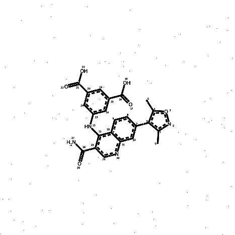 Cc1noc(C)c1-c1ccc2c(Nc3cc(C(=O)O)cc(C(=O)O)c3)c(C(N)=O)cnc2c1